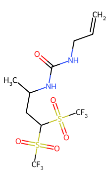 C=CCNC(=O)NC(C)CC(S(=O)(=O)C(F)(F)F)S(=O)(=O)C(F)(F)F